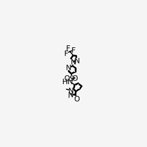 Cn1c(=O)c2cccc(NS(=O)(=O)c3ccc(-n4cc(C(F)(F)F)cn4)nc3)c2n1C